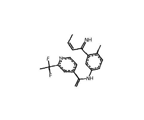 C=C(Nc1ccc(C)c(C(=N)/C=C\C)c1)c1ccnc(C(C)(F)F)c1